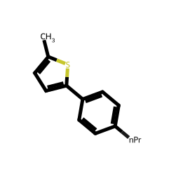 C[CH]Cc1ccc(-c2ccc(C)s2)cc1